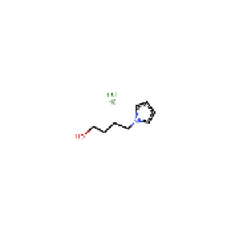 Cl.Cl.OCCCCn1cccc1